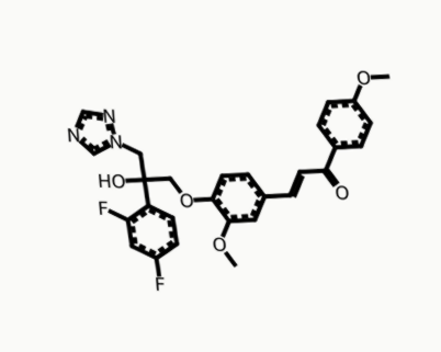 COc1ccc(C(=O)C=Cc2ccc(OCC(O)(Cn3cncn3)c3ccc(F)cc3F)c(OC)c2)cc1